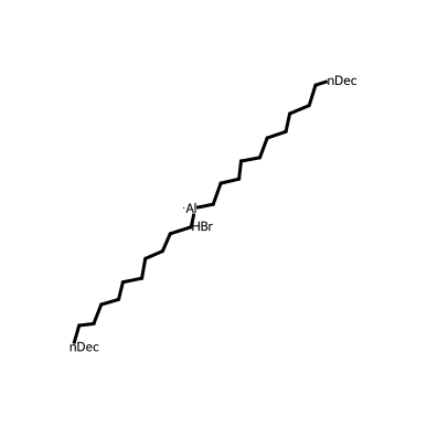 Br.CCCCCCCCCCCCCCCCCCC[CH2][Al][CH2]CCCCCCCCCCCCCCCCCCC